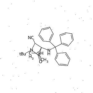 C[SiH](C)C1(NC(c2ccccc2)(c2ccccc2)c2ccccc2)C(=O)N(C(C)(C)C)C1C#N